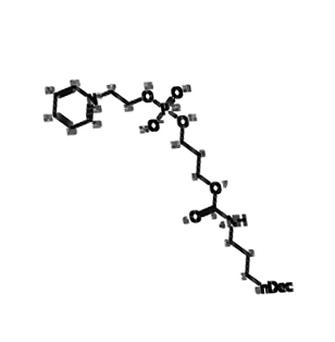 CCCCCCCCCCCCCNC(=O)OCCCOP(=O)([O-])OCC[n+]1ccccc1